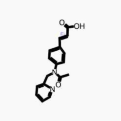 CC(=O)N(Cc1ccccn1)c1ccc(/C=C/C(=O)O)cc1